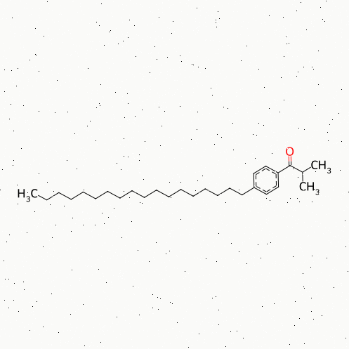 CCCCCCCCCCCCCCCCCCc1ccc(C(=O)C(C)C)cc1